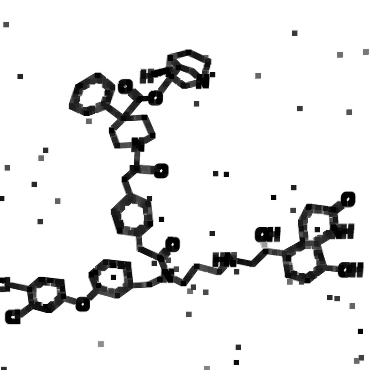 O=C(Cc1ccc(CC(=O)N(CCCNC[C@H](O)c2ccc(O)c3[nH]c(=O)ccc23)Cc2cccc(Oc3ccc(Cl)c(Cl)c3)c2)cc1)N1CCC(C(=O)O[C@H]2CN3CCC2CC3)(c2ccccc2)CC1